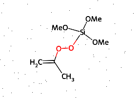 C=C(C)OO[Si](OC)(OC)OC